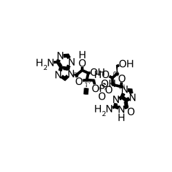 C#C[C@]1(COP(=O)(O)OC2C(O)[C@@H](CO)O[C@H]2n2cnc3c(=O)[nH]c(N)nc32)O[C@@H](n2cnc3c(N)ncnc32)C(O)C1O